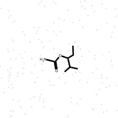 CCC(OC(N)=O)C(C)C